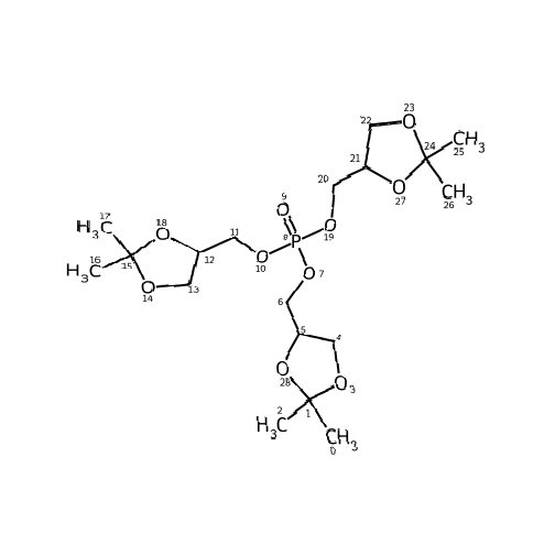 CC1(C)OCC(COP(=O)(OCC2COC(C)(C)O2)OCC2COC(C)(C)O2)O1